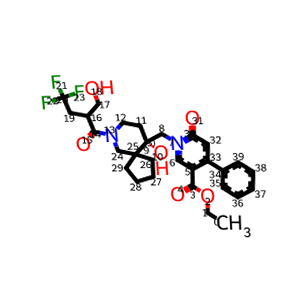 CCOC(=O)c1cn(C[C@]2(O)CCN(C(=O)C(CO)CC(F)(F)F)CC23CCCC3)c(=O)cc1-c1ccccc1